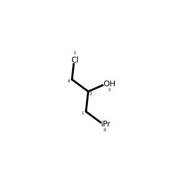 CC(C)CC(O)CCl